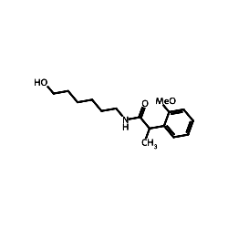 COc1ccccc1C(C)C(=O)NCCCCCCO